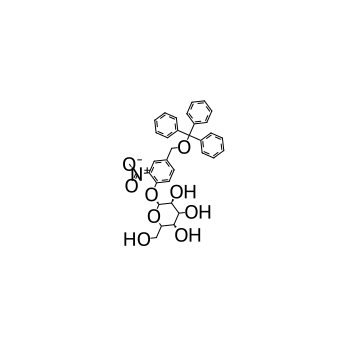 O=[N+]([O-])c1cc(COC(c2ccccc2)(c2ccccc2)c2ccccc2)ccc1O[C@@H]1OC(CO)[C@H](O)C(O)[C@@H]1O